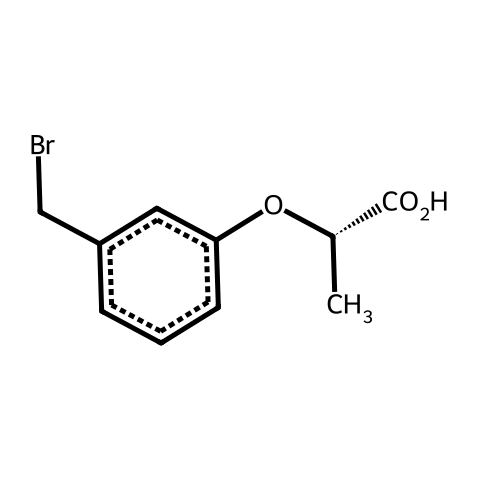 C[C@H](Oc1cccc(CBr)c1)C(=O)O